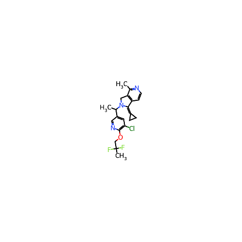 Cc1nccc2c1CN(C(C)c1cnc(OCC(C)(F)F)c(Cl)c1)C2=C1CC1